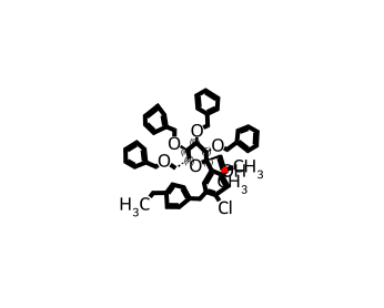 CCc1ccc(Cc2cc([C@]3(C=C(C)C)O[C@H](COCc4ccccc4)[C@@H](OCc4ccccc4)[C@@H](OCc4ccccc4)[C@@H]3OCc3ccccc3)c(O)cc2Cl)cc1